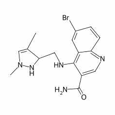 CC1=CN(C)NC1CNc1c(C(N)=O)cnc2ccc(Br)cc12